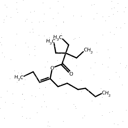 CCC=C(CCCCCC)OC(=O)C(CC)(CC)CC